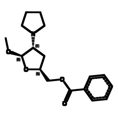 CO[C@@H]1O[C@H](COC(=O)c2ccccc2)C[C@H]1N1CCCC1